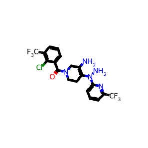 NC1=C(N(N)c2cccc(C(F)(F)F)n2)CCN(C(=O)c2cccc(C(F)(F)F)c2Cl)C1